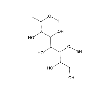 CC(OI)C(O)C(O)C(O)C(OS)C(O)CO